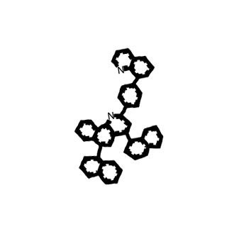 c1ccc2c(-c3cc4c(-c5cccc6ccccc56)cc(-c5ccc(-c6cccc7cccnc67)cc5)nc4c4ccccc34)cccc2c1